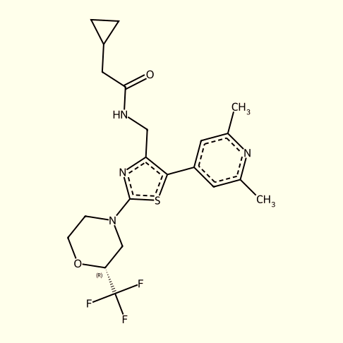 Cc1cc(-c2sc(N3CCO[C@@H](C(F)(F)F)C3)nc2CNC(=O)CC2CC2)cc(C)n1